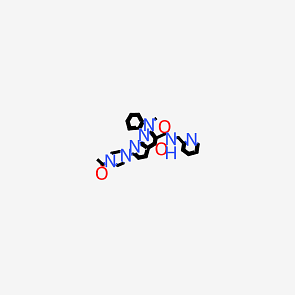 CC(=O)N1CCN(c2ccc3c(=O)c(C(=O)NCc4ccccn4)c4n(C)c5ccccc5n4c3n2)CC1